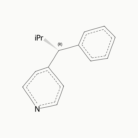 CC(C)[C@H](c1ccccc1)c1ccncc1